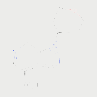 O=C(O)c1cncc2c1cnn2C1CCOCC1